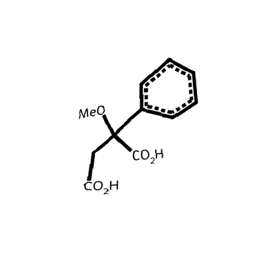 COC(CC(=O)O)(C(=O)O)c1ccccc1